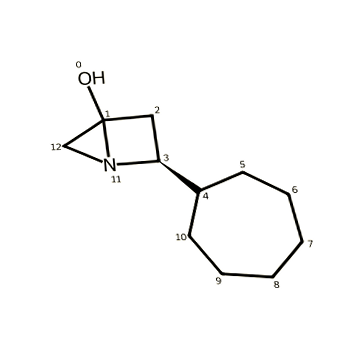 OC12C[C@@H](C3CCCCCC3)N1C2